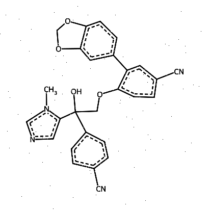 Cn1cncc1C(O)(COc1ccc(C#N)cc1-c1ccc2c(c1)OCO2)c1ccc(C#N)cc1